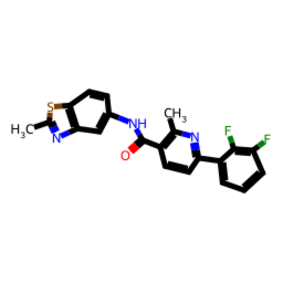 Cc1nc2cc(NC(=O)c3ccc(-c4cccc(F)c4F)nc3C)ccc2s1